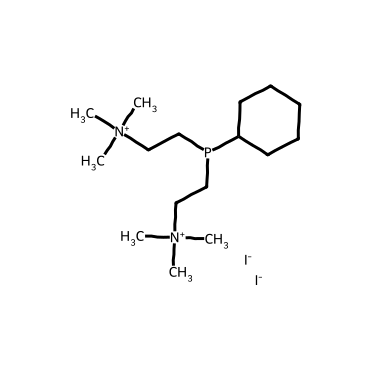 C[N+](C)(C)CCP(CC[N+](C)(C)C)C1CCCCC1.[I-].[I-]